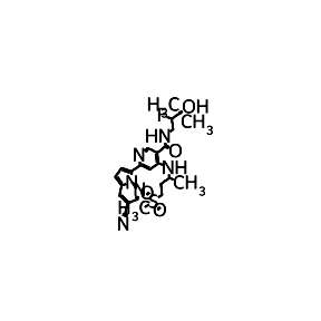 CC(CCS(C)(=O)=O)Nc1cc(-c2ccc3cc(C#N)cnn23)ncc1C(=O)NCC(F)C(C)(C)O